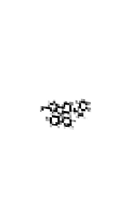 Brc1ccc2c(c1)C(c1ccccc1)(c1ccccc1)c1cc(-n3ccc4ccccc43)ccc1-2